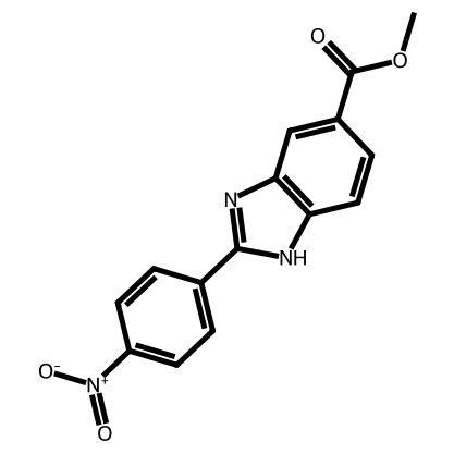 COC(=O)c1ccc2[nH]c(-c3ccc([N+](=O)[O-])cc3)nc2c1